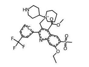 CCOc1cc2nc(-c3cccc(C(F)(F)F)c3)c(C[N+]3(C4CCNCC4)CCCCC3)c(C(=O)OC)c2cc1S(C)(=O)=O